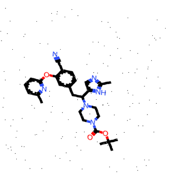 Cc1cccc(Oc2cc(CC(c3cnc(C)[nH]3)N3CCN(C(=O)OC(C)(C)C)CC3)ccc2C#N)n1